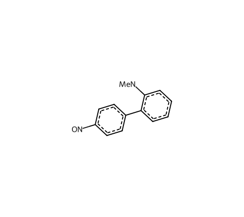 CNc1ccccc1-c1ccc(N=O)cc1